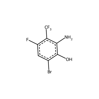 Nc1c(O)c(Br)cc(F)c1C(F)(F)F